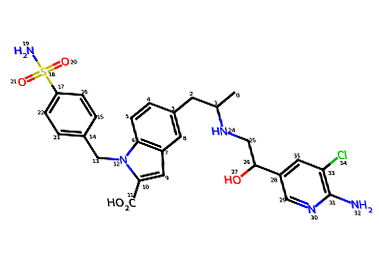 CC(Cc1ccc2c(c1)cc(C(=O)O)n2Cc1ccc(S(N)(=O)=O)cc1)NCC(O)c1cnc(N)c(Cl)c1